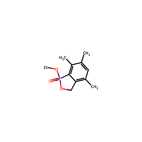 CCOP1(=O)OCc2c(C)cc(C)c(C)c21